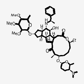 CC[C@H]1CCC[C@H](O[C@H]2CC[C@H](N(C)C)C(C)O2)[C@@H](C)C(=O)C2=C[C@H]3[C@@H]4C[C@H](O[C@@H]5OC(C)[C@H](OC)C(OC)C5OC)C[C@H]4[C@H](N[C@H](C)c4ccccc4)[C@@H](O)[C@H]3[C@@H]2CC(=O)O1